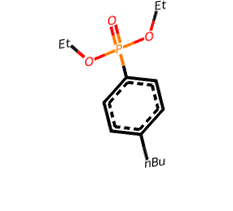 CCCCc1ccc(P(=O)(OCC)OCC)cc1